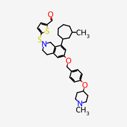 CC1CCCCC(c2cc(OCc3ccc(OC4CCN(C)CC4)cc3)cc3c2CN(Sc2ccc(C=O)s2)CC3)C1